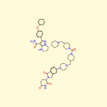 NC(=O)c1c(-c2ccc(Oc3ccccc3)cc2)nn2c1NCC[C@H]2C1CCN(CC2CCN(C(=O)N3CCC(CN4CCN(c5ccc6c(c5)CN(C5CCC(=O)NC5=O)C6=O)CC4)CC3)CC2)CC1